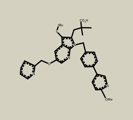 COc1ccc(-c2ccc(Cn3c(CC(C)(C)C(=O)O)c(SC(C)(C)C)c4cc(OCc5ccccn5)cnc43)cc2)cn1